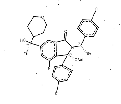 CC[C@@](O)(c1cc(F)c2c(c1)C(=O)N([C@H](c1ccc(Cl)cc1)C(C)C)[C@@]2(OC)c1ccc(Cl)cc1)C1CCOCC1